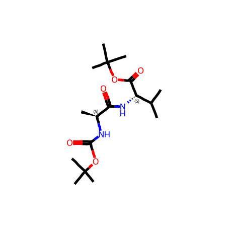 CC(C)[C@H](NC(=O)[C@H](C)NC(=O)OC(C)(C)C)C(=O)OC(C)(C)C